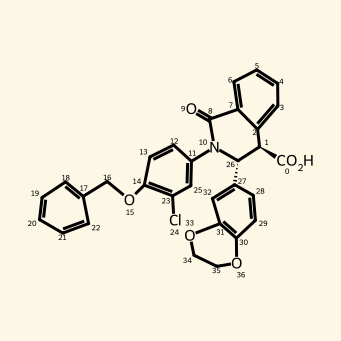 O=C(O)[C@@H]1c2ccccc2C(=O)N(c2ccc(OCc3ccccc3)c(Cl)c2)[C@H]1c1ccc2c(c1)OCCO2